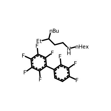 CCCCCCNCCC(CC)CCCC.Fc1ccc(-c2c(F)c(F)c(F)c(F)c2F)c(F)c1F